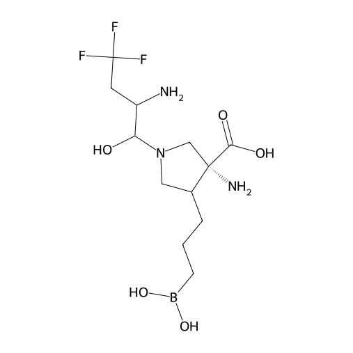 NC(CC(F)(F)F)C(O)N1CC(CCCB(O)O)[C@](N)(C(=O)O)C1